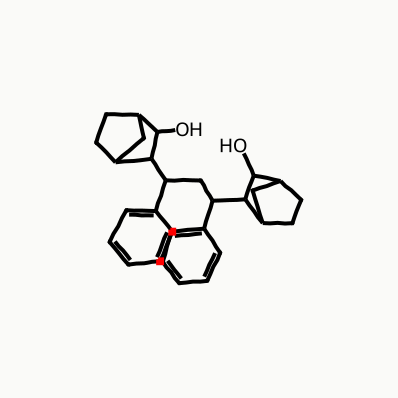 OC1C2CCC(C2)C1C(CC(c1ccccc1)C1C2CCC(C2)C1O)c1ccccc1